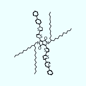 CCCCCCCCCCCCC(CCCCCCCCCC)CN1C(=O)C2=C(C3CC=C(C4=CCC(c5ccc(-c6ccccc6)cc5)S4)S3)N(CC(CCCCCCCCCC)CCCCCCCCCCCC)C(=O)C2=C1c1ccc(-c2ccc(-c3ccc(-c4ccccc4)cc3)s2)s1